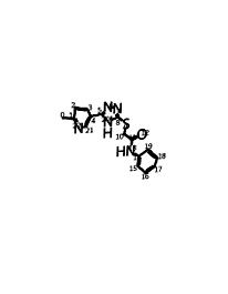 Cc1ccc(-c2nnc(SCC(=O)Nc3ccccc3)[nH]2)cn1